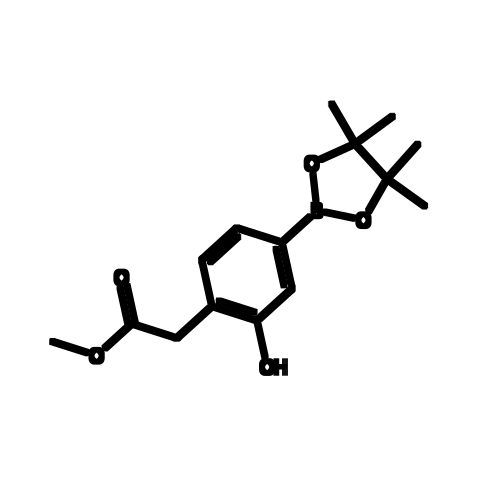 COC(=O)Cc1ccc(B2OC(C)(C)C(C)(C)O2)cc1O